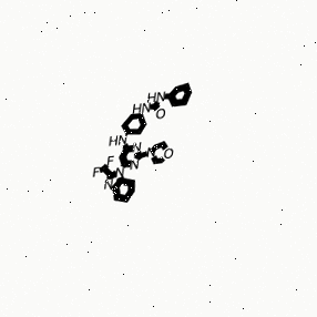 O=C(Nc1ccccc1)N[C@H]1CC[C@H](Nc2cc(-n3c(C(F)F)nc4ccccc43)nc(N3CCOCC3)n2)CC1